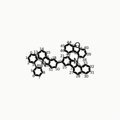 c1ccc(-c2ccccc2-n2c3ccccc3c3cc(-c4ccc5c(c4)c4ccc6ccccc6c4n5-c4cccc5oc6ccccc6c45)ccc32)cc1